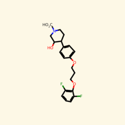 O=C(O)N1CCC(c2ccc(OCCCOc3c(F)cccc3F)cc2)C(O)C1